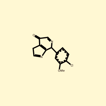 COc1cc(C2N=CC(=O)C3=C2N=CC3)ccc1Cl